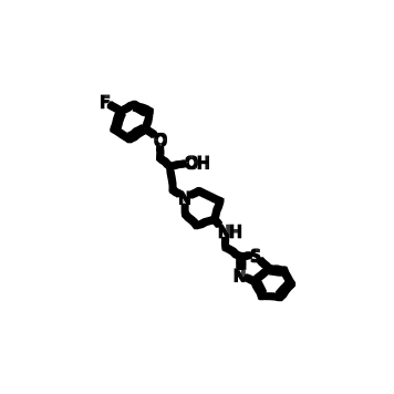 OC(COc1ccc(F)cc1)CN1CCC(NCc2nc3ccccc3s2)CC1